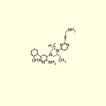 CCC1CN(c2cc(-c3ccccc3O)nnc2N)CC(C)N1c1ccnc(C#CCN)n1